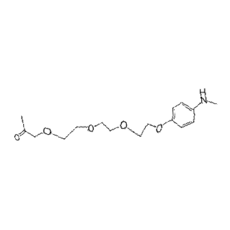 CNc1ccc(OCCOCCOCCOCC(=O)I)cc1